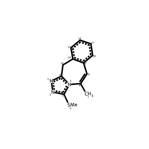 CSc1nnc2n1C(C)=Cc1ccccc1C2